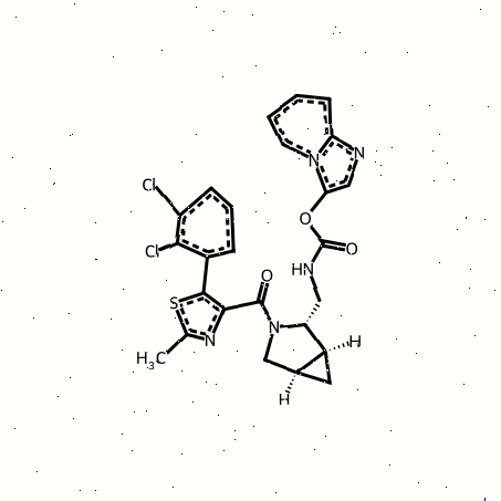 Cc1nc(C(=O)N2C[C@@H]3C[C@@H]3[C@H]2CNC(=O)Oc2cnc3ccccn23)c(-c2cccc(Cl)c2Cl)s1